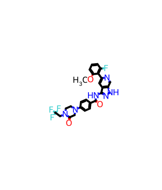 COc1cccc(F)c1-c1cc2c(NC(=O)c3ccc(N4CCN(CC(F)(F)F)C(=O)C4)cc3)n[nH]c2cn1